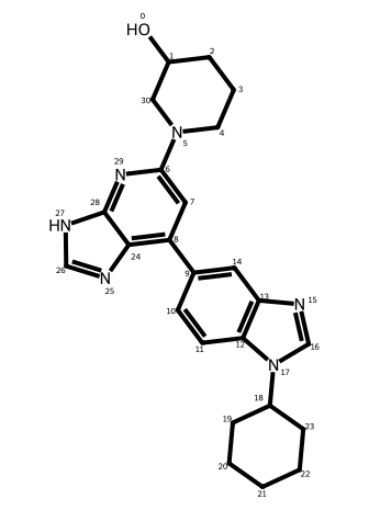 OC1CCCN(c2cc(-c3ccc4c(c3)ncn4C3CCCCC3)c3nc[nH]c3n2)C1